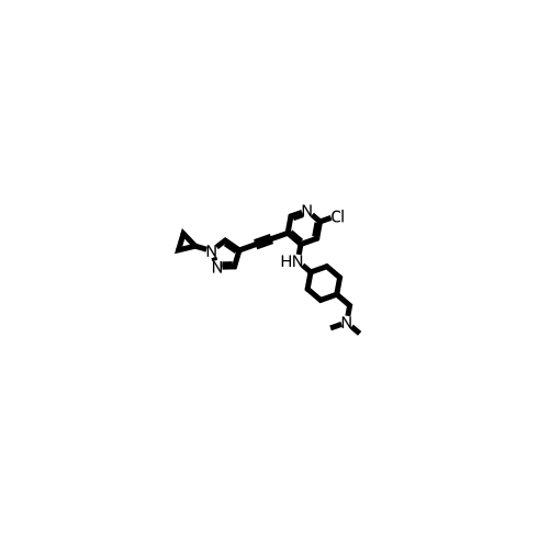 CN(C)CC1CCC(Nc2cc(Cl)ncc2C#Cc2cnn(C3CC3)c2)CC1